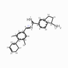 Cc1cc(/C=N/C(=N)c2ccc3c(c2)CCC3N)cc(C)c1C1=CC=CCC1